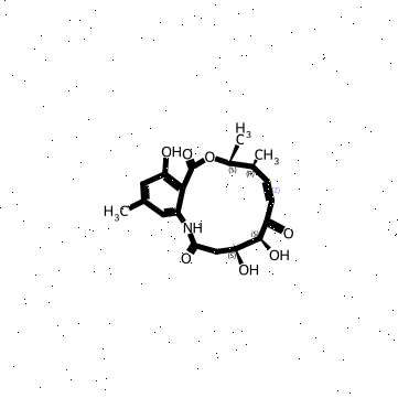 Cc1cc(O)c2c(c1)NC(=O)C[C@H](O)[C@H](O)C(=O)/C=C\[C@@H](C)[C@H](C)OC2=O